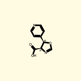 O=C(O)[C@@H]1N=CO[C@@H]1c1ccncc1